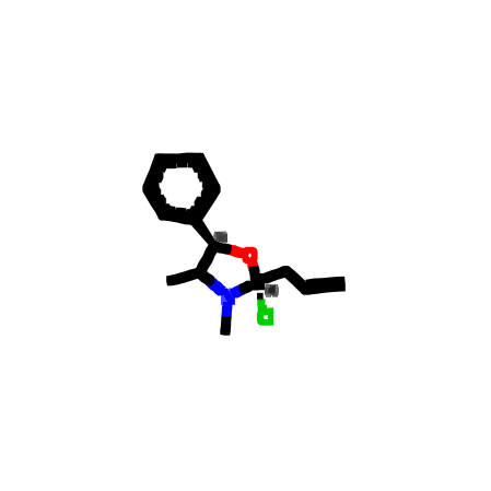 C=CC[Si@]1(Cl)O[C@H](c2ccccc2)C(C)N1C